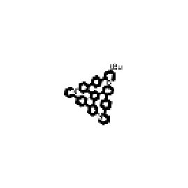 CC(C)(C)c1ccnc(-c2ccc(-c3ccccc3-c3cc(-c4ccccc4-c4ccc(-c5ccccn5)cc4)cc(-c4ccccc4-c4ccc(-c5ccccn5)cc4)c3)cc2)c1